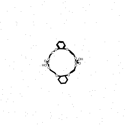 O=P1(O)OC=COc2ccccc2OCCOP(=O)(O)OCCOC2CCCCC2OC=CO1